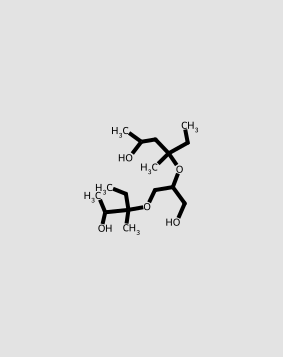 CCC(C)(CC(C)O)OC(CO)COC(C)(CC)C(C)O